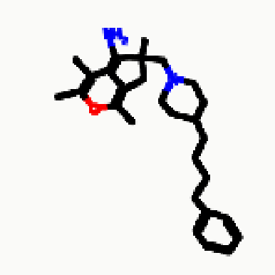 CC1=C(C)C2=C(N)C(C)(CN3CCC(CCCCc4ccccc4)CC3)CC2=C(C)O1